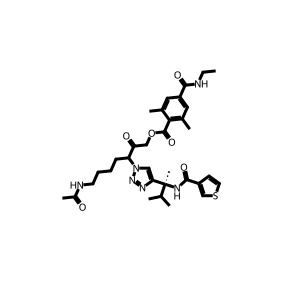 CCNC(=O)c1cc(C)c(C(=O)OCC(=O)C(CCCCNC(C)=O)n2cc([C@@](C)(NC(=O)c3ccsc3)C(C)C)nn2)c(C)c1